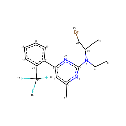 CCN(c1nc(C)cc(-c2ccccc2C(F)(F)F)n1)C(C)CBr